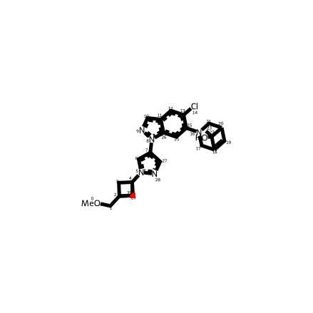 COCC12CC(n3cc(-n4ncc5cc(Cl)c(N6CC7=CC(C6)C7(C)O)cc54)cn3)(C1)C2